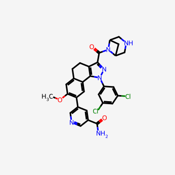 COc1cc2c(cc1-c1cncc(C(N)=O)c1)-c1c(c(C(=O)N3C4CNCC3C4)nn1-c1cc(Cl)cc(Cl)c1)CC2